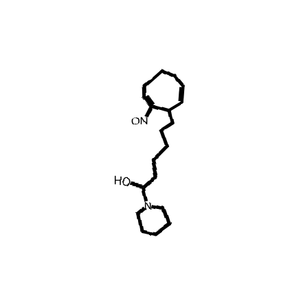 O=N/C1=C/CCCC=CC1CCCCCC(O)N1CCCCC1